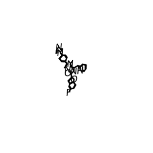 Cn1c(-c2ccc(-n3ccnc3)cc2)cnc1C(Cc1ccccn1)NC(=O)c1cc2cc(F)ccc2o1